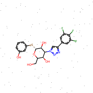 OCC1O[C@H](Sc2cccc(O)c2)[C@@H](O)C(n2cc(-c3cc(F)c(F)c(F)c3)nn2)[C@H]1O